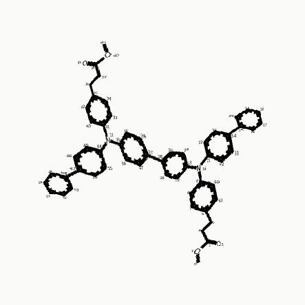 COC(=O)CCc1ccc(N(c2ccc(-c3ccccc3)cc2)c2ccc(-c3ccc(N(c4ccc(CCC(=O)OC)cc4)c4ccc(-c5ccccc5)cc4)cc3)cc2)cc1